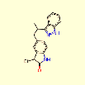 CCC1C(=O)Nc2ccc(CC(C)c3n[nH]c4ccccc34)cc21